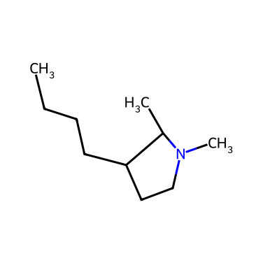 CCCCC1CCN(C)C1C